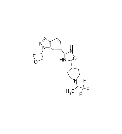 CC(N1CCC(C2NC(c3ccc4cnn(C5COC5)c4c3)NO2)CC1)C(F)(F)F